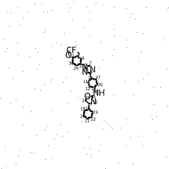 FC(F)(F)Oc1ccc(-n2cnc(-c3ccc(NC4=NC(c5ccccc5)CO4)cc3)n2)cc1